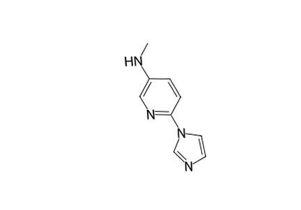 CNc1ccc(-n2ccnc2)nc1